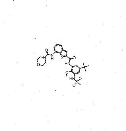 COc1c(NC(=O)c2cc3cccc(NC(=O)N4CCOCC4)c3s2)cc(C(C)(C)C)cc1NS(C)(=O)=O